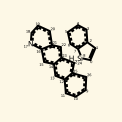 C1=Cc2ccccc2[SiH2]1.c1ccc2cc3cc4ncccc4cc3cc2c1